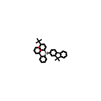 CC(C)(C)c1ccc(N(c2ccc3c(c2)C(C)(C)c2ccccc2-3)c2ccccc2-c2ccccc2)cc1